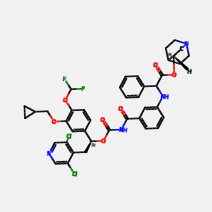 O=C(NC(=O)c1cccc(NC(C(=O)O[C@H]2CN3CCC2CC3)c2ccccc2)c1)O[C@@H](Cc1c(Cl)cncc1Cl)c1ccc(OC(F)F)c(OCC2CC2)c1